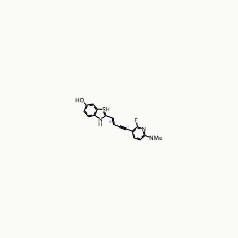 CNc1ccc(C#C/C=C/C2=[SH]c3cc(O)ccc3N2)c(F)n1